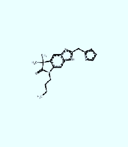 CCCCN1C(=O)C(C)(C)c2cc3nc(Cc4cccs4)[nH]c3cc21